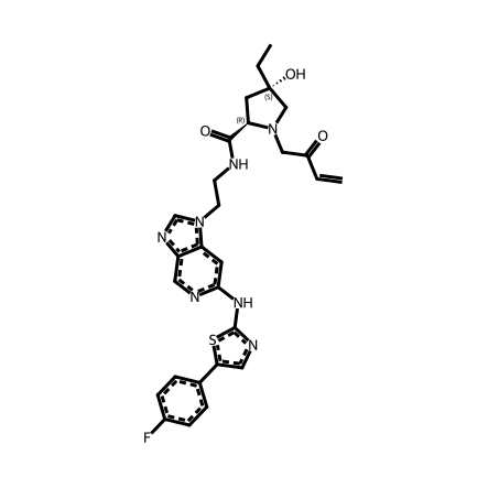 C=CC(=O)CN1C[C@](O)(CC)C[C@@H]1C(=O)NCCn1cnc2cnc(Nc3ncc(-c4ccc(F)cc4)s3)cc21